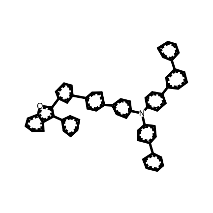 c1ccc(-c2ccc(N(c3ccc(-c4ccc(-c5cccc(-c6oc7ccccc7c6-c6ccccc6)c5)cc4)cc3)c3ccc(-c4cccc(-c5ccccc5)c4)cc3)cc2)cc1